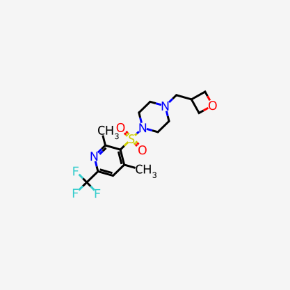 Cc1cc(C(F)(F)F)nc(C)c1S(=O)(=O)N1CCN(CC2COC2)CC1